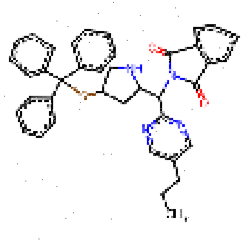 CCCc1cnc(C(C2CC(SC(c3ccccc3)(c3ccccc3)c3ccccc3)CN2)N2C(=O)c3ccccc3C2=O)nc1